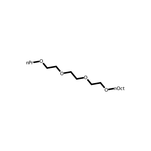 CCCCCCCCOCCOCCOCCOCCC